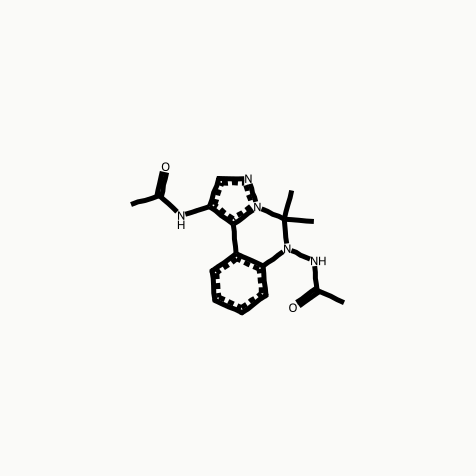 CC(=O)Nc1cnn2c1-c1ccccc1N(NC(C)=O)C2(C)C